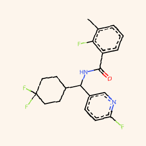 Cc1cccc(C(=O)NC(c2ccc(F)nc2)C2CCC(F)(F)CC2)c1F